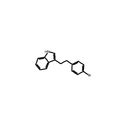 Brc1ccc(CCc2c[nH]c3ccccc23)cc1